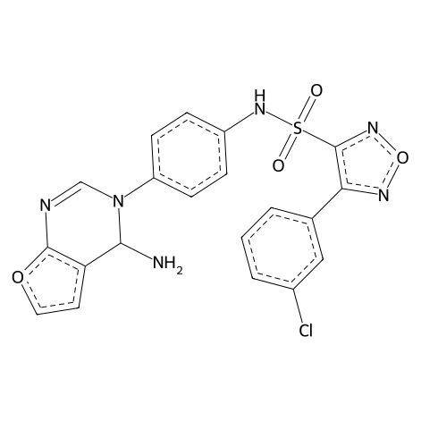 NC1c2ccoc2N=CN1c1ccc(NS(=O)(=O)c2nonc2-c2cccc(Cl)c2)cc1